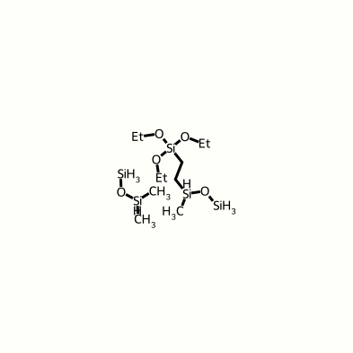 CCO[Si](CC[SiH](C)O[SiH3])(OCC)OCC.C[SiH](C)O[SiH3]